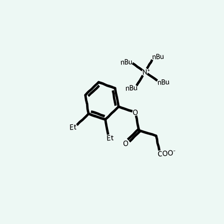 CCCC[N+](CCCC)(CCCC)CCCC.CCc1cccc(OC(=O)CC(=O)[O-])c1CC